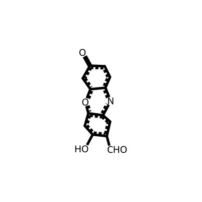 O=Cc1cc2nc3ccc(=O)cc-3oc2cc1O